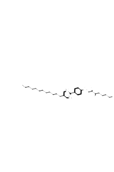 CCCCCCCCCCCCc1cnc(-c2ccc(OCC(F)C(F)CCCCC)cc2)nc1